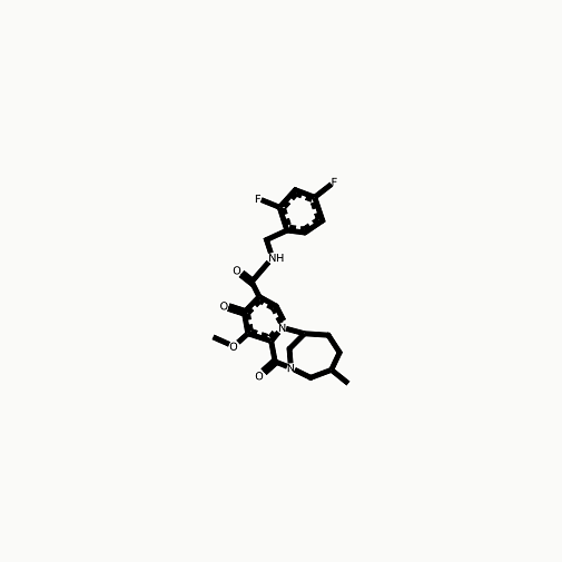 COc1c2n(cc(C(=O)NCc3ccc(F)cc3F)c1=O)C1CCC(C)CN(C1)C2=O